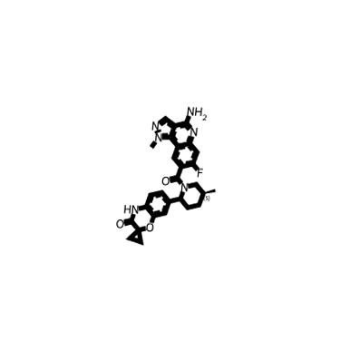 C[C@H]1CCC(c2ccc3c(c2)OC2(CC2)C(=O)N3)N(C(=O)c2cc3c(cc2F)nc(N)c2cnn(C)c23)C1